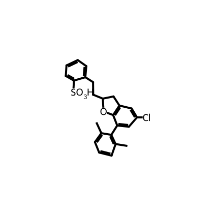 Cc1cccc(C)c1-c1cc(Cl)cc2c1OC(CCc1ccccc1S(=O)(=O)O)C2